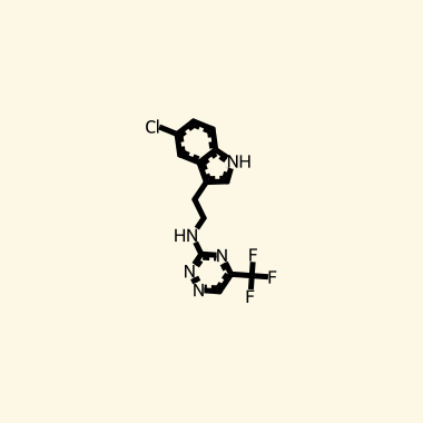 FC(F)(F)c1cnnc(NCCc2c[nH]c3ccc(Cl)cc23)n1